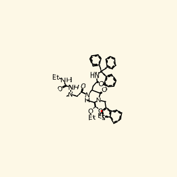 CCNC(=O)NN(C)CC(=O)NC(CC(=O)NC(c1ccccc1)(c1ccccc1)c1ccccc1)C(=O)N(Cc1csc2ccccc12)C(C)C(OCC)OCC